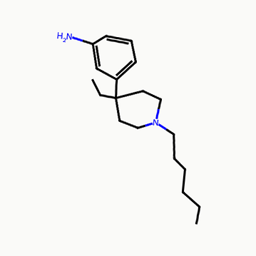 CCCCCCN1CCC(CC)(c2cccc(N)c2)CC1